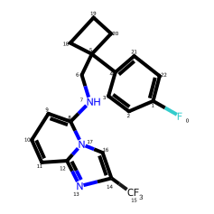 Fc1ccc(C2(CNc3cccc4nc(C(F)(F)F)cn34)CCC2)cc1